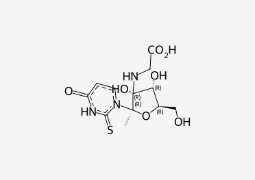 C[C@@]1(n2ccc(=O)[nH]c2=S)O[C@H](CO)[C@@H](O)[C@]1(O)NCC(=O)O